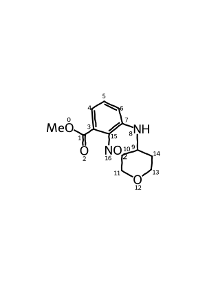 COC(=O)c1cccc(NC2CCOCC2)c1[N+](=O)[O-]